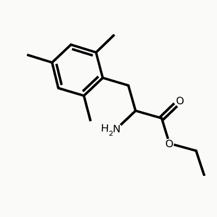 CCOC(=O)C(N)Cc1c(C)cc(C)cc1C